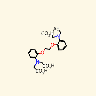 CC(=O)CN(CC(=O)O)c1ccccc1OCCOc1ccccc1N(CC(=O)O)CC(=O)O